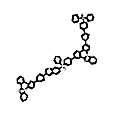 C=c1cc(P(=O)(C2=CCCC=C2)C2=CC=C(c3ccc4c5cc(C6C=CC(c7ccc(P(=O)(c8ccccc8)c8ccccc8)cc7)=CC6)ccc5n5c6c(nc5c4c3)C=CCC6)CC2)cc/c1=C/C(=C\C)c1ccc(-c2ccc3c(c2)c2ccccc2c2nc4c(n32)CCC=C4)cc1